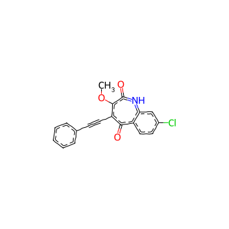 COc1c(C#Cc2ccccc2)c(=O)c2ccc(Cl)cc2[nH]c1=O